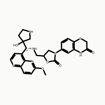 COc1ccc2nccc([C@@H](NCC3CN(c4ccc5c(c4)NC(=O)CS5)C(=O)O3)C3(O)CCNC3)c2n1